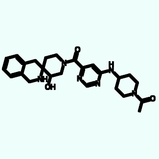 CC(=O)N1CCC(Nc2cc(C(=O)N3CCC4(Cc5ccccc5CN4)C(O)C3)ncn2)CC1